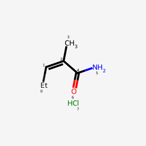 CCC=C(C)C(N)=O.Cl